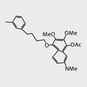 CNc1ccc2c(OCCCCc3cccc(C)c3)c(OC)c(OC)c(OC(C)=O)c2c1